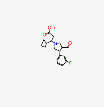 O=CC1CN(C(CC(=O)O)C2CCC2)CC1c1cccc(F)c1